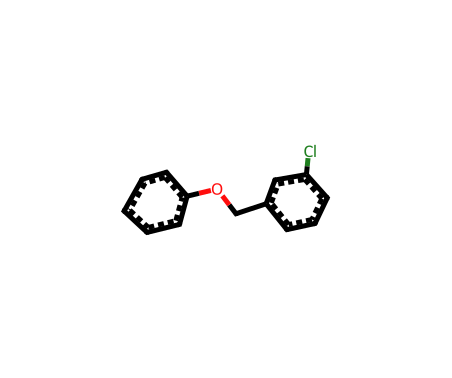 Clc1cccc(COc2ccccc2)c1